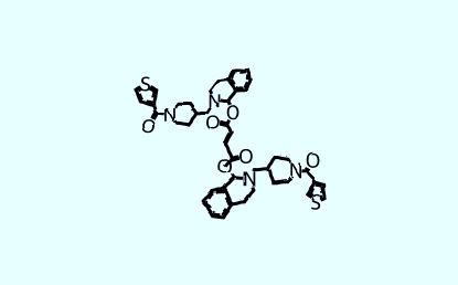 O=C(/C=C/C(=O)OC1c2ccccc2CCN1CC1CCN(C(=O)c2ccsc2)CC1)OC1c2ccccc2CCN1CC1CCN(C(=O)c2ccsc2)CC1